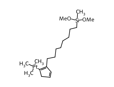 CO[Si](C)(CCCCCCCCC1=[C]([Pt]([CH3])([CH3])[CH3])CC=C1)OC